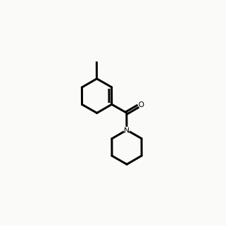 CC1C=C(C(=O)N2CCCCC2)CCC1